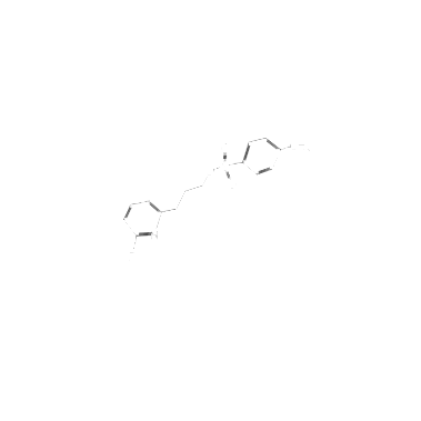 Cc1ccc(S(=O)(=O)OCCCc2cccc(F)n2)cc1